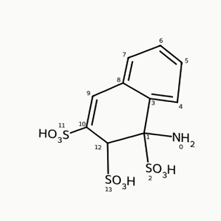 NC1(S(=O)(=O)O)c2ccccc2C=C(S(=O)(=O)O)C1S(=O)(=O)O